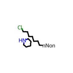 C1CCNCC1.CCCCCCCCCCCCCCCCCl